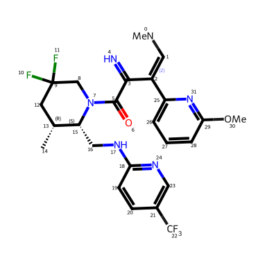 CN/C=C(\C(=N)C(=O)N1CC(F)(F)C[C@@H](C)[C@H]1CNc1ccc(C(F)(F)F)cn1)c1cccc(OC)n1